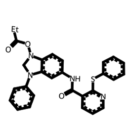 CCC(=O)ON1CN(c2ccccc2)c2cc(NC(=O)c3cccnc3Sc3ccccc3)ccc21